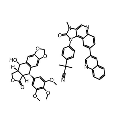 COc1cc([C@@H]2c3cc4c(cc3[C@H](O)[C@H]3COC(=O)[C@@H]23)OCO4)cc(OC)c1OC.Cn1c(=O)n(-c2ccc(C(C)(C)C#N)cc2)c2c3cc(-c4cnc5ccccc5c4)ccc3ncc21